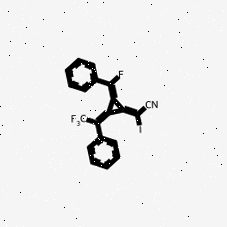 N#C/C(I)=C1\C(=C(F)c2ccccc2)\C1=C(\c1ccccc1)C(F)(F)F